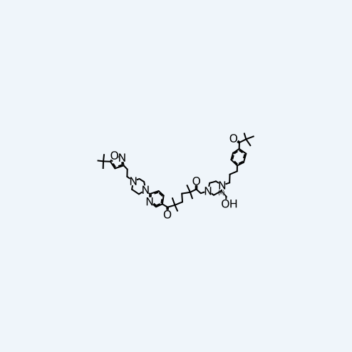 CC(C)(C)C(=O)c1ccc(CCCN2CCN(CC(=O)C(C)(C)CCC(C)(C)C(=O)c3ccc(N4CCN(CCc5cc(C(C)(C)C)on5)CC4)nc3)C[C@@H]2CO)cc1